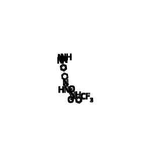 O=C(CNC(=O)c1cccc(C(F)(F)F)c1)NC1CN([C@H]2CC[C@@H](c3ccc(-c4nn[nH]n4)cc3)CC2)C1